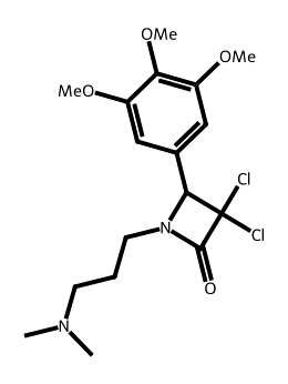 COc1cc(C2N(CCCN(C)C)C(=O)C2(Cl)Cl)cc(OC)c1OC